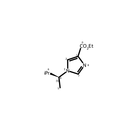 CCOC(=O)c1cn([C@@H](C)C(C)C)cn1